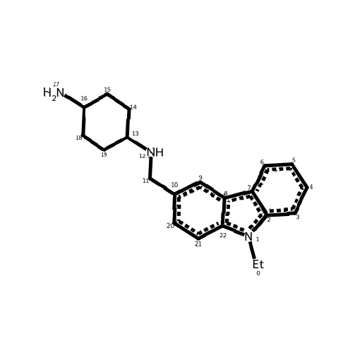 CCn1c2ccccc2c2cc(CNC3CCC(N)CC3)ccc21